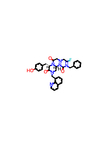 O=C1[C@H](Cc2ccc(O)cc2)N2C(=O)CN(CCF)N(C(=O)NCc3ccccc3)[C@H]2CN1Cc1cccc2cccnc12